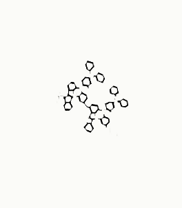 Cc1cc2c3c(c1)-n1c4c(ccc(Cc5cc6c7c(c5)-n5c8c(c9cccc(c95)B7c5ccc(N(c7ccccc7)c7ccccc7)cc5O6)C(C)(C)c5ccccc5-8)c4c4oc5ccccc5c41)B3c1ccc(N(c3ccccc3)c3ccccc3)cc1O2